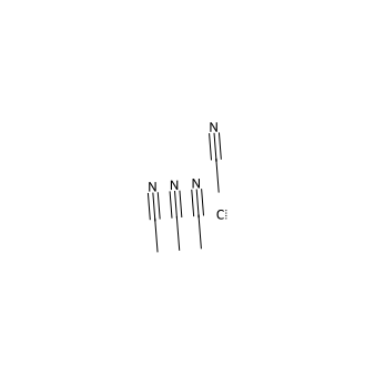 CC#N.CC#N.CC#N.CC#N.[C]